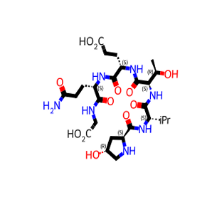 CC(C)[C@H](NC(=O)[C@@H]1C[C@@H](O)CN1)C(=O)N[C@H](C(=O)N[C@@H](CCC(=O)O)C(=O)N[C@@H](CCC(N)=O)C(=O)NCC(=O)O)[C@@H](C)O